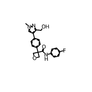 Cn1cc(-c2ccc(C3(C(=O)Nc4ccc(F)cc4)COC3)cc2)c(CO)n1